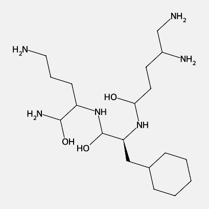 NCCCC(NC(O)[C@H](CC1CCCCC1)NC(O)CCC(N)CN)C(N)O